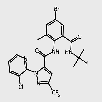 Cc1cc(Br)cc(C(=O)NC(C)(C)I)c1NC(=O)c1cc(C(F)(F)F)nn1-c1ncccc1Cl